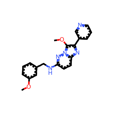 COc1cccc(CNc2ccc3nc(-c4cccnc4)c(OC)n3n2)c1